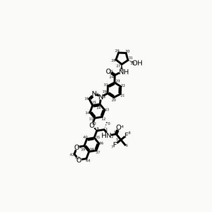 C[C@H](NC(=O)C(C)(F)F)[C@H](Oc1ccc2c(cnn2-c2cccc(C(=O)N[C@H]3CCC[C@@H]3O)c2)c1)c1ccc2c(c1)OCOC2